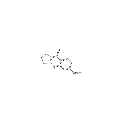 CCCCCc1ccn2c(=O)c3c(nc2c1)CCC3